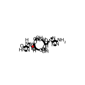 Nc1ncnc2c1ncn2[C@H]1C[C@@H]2OP(=O)(O)OC[C@H]3O[C@@H](N4CNc5c4nc[nH]c5=O)[C@H](OP(=O)(O)OC[C@H]2O1)[C@H]3F